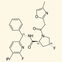 Cc1coc(CC(=O)N2C[C@H](F)C[C@H]2C(=O)N[C@@H](c2ccccc2)c2ccc(C(C)C)c(F)n2)n1